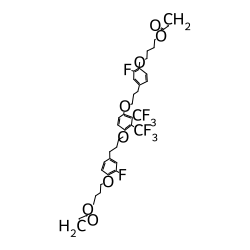 C=CC(=O)OCCCCOc1ccc(CCCOc2ccc(OCCCc3ccc(OCCCCOC(=O)C=C)c(F)c3)c(C(F)(F)F)c2C(F)(F)F)cc1F